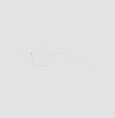 C=C1CCC(CCCC(F)(F)F)C1